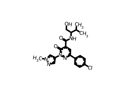 CC(C)C(CO)NC(=O)c1cc(-c2ccc(Cl)cc2)nn(-c2cnn(C)c2)c1=O